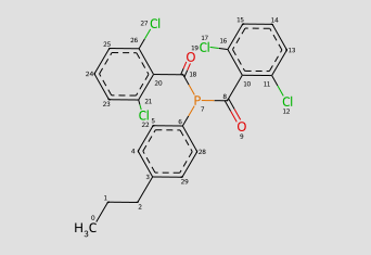 CCCc1ccc(P(C(=O)c2c(Cl)cccc2Cl)C(=O)c2c(Cl)cccc2Cl)cc1